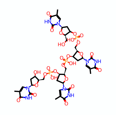 Cc1cn([C@H]2CC(OP(=O)(O)OC[C@H]3O[C@@H](n4cc(C)c(=O)[nH]c4=O)C[C@H]3OP(=O)(O)OC[C@H]3O[C@@H](n4cc(C)c(=O)[nH]c4=O)C[C@H]3OP(=O)(O)OC[C@H]3O[C@@H](n4cc(C)c(=O)[nH]c4=O)C[C@H]3O)[C@@H](CO)O2)c(=O)[nH]c1=O